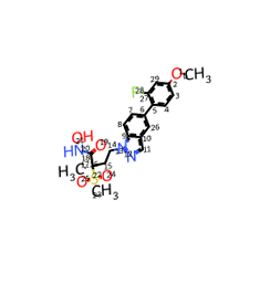 COc1ccc(-c2ccc3c(cnn3CC[C@](C)(C(=O)NO)S(C)(=O)=O)c2)c(F)c1